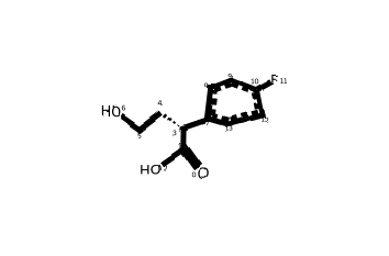 O=C(O)[C@H](CCO)c1ccc(F)cc1